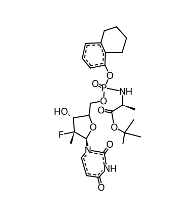 C[C@H](NP(=O)(OCC1O[C@@H](n2ccc(=O)[nH]c2=O)[C@](C)(F)[C@@H]1O)Oc1cccc2c1CCCC2)C(=O)OC(C)(C)C